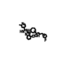 Cc1cc(C(=N)Nc2nc3cccc(Cl)c3n2[C@@H]2CCCCN(C(O)/C=C/CN3CC[C@@H](F)C3)C2)ccn1